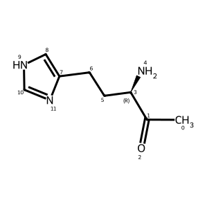 CC(=O)[C@H](N)CCc1c[nH]cn1